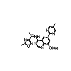 COc1cc(-c2ncc(C)cn2)cc2c(N[C@H](C)c3noc(C)n3)ncnc12